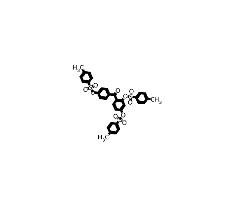 Cc1ccc(S(=O)(=O)Oc2ccc(C(=O)c3ccc(OS(=O)(=O)c4ccc(C)cc4)cc3OS(=O)(=O)c3ccc(C)cc3)cc2)cc1